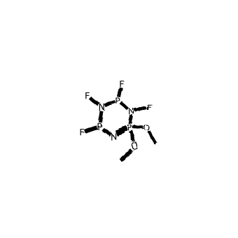 COP1(OC)=NP(F)N(F)P(F)N1F